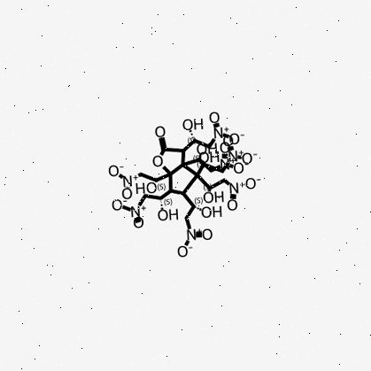 O=C1OC2([C@@H](O)C[N+](=O)[O-])C([C@H](O)C[N+](=O)[O-])C([C@H](O)C[N+](=O)[O-])C([C@H](O)C[N+](=O)[O-])([C@H](O)C[N+](=O)[O-])C2([C@H](O)C[N+](=O)[O-])C1[C@H](O)C[N+](=O)[O-]